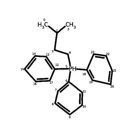 CC(C)CC[PH](c1ccccc1)(c1ccccc1)c1ccccc1